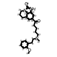 COc1ccccc1CCN(C)CCCCC(=O)c1cc2c3c(c1)[nH]c(=O)n3CCC2